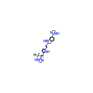 C/C(=C\c1ccc(/C=C/C2Cc3ccc(C4=NCCN4)cc3N2)[nH]1)C1=NCCN1